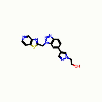 OCCn1cc(-c2ccc3nnn(Cc4nc5cnccc5s4)c3c2)cn1